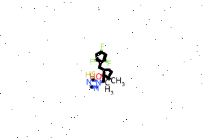 CC1(C)CCC(Cc2c(F)cc(F)cc2F)C1(O)Cn1ncnc1S